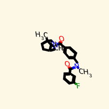 CN(Cc1ccc(C(=O)N2CC3CCC(C)(C2)C3(C)C)cc1)C(=O)c1cccc(F)c1